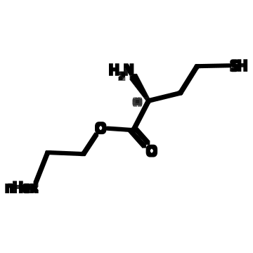 CCCCCCCCOC(=O)[C@@H](N)CCS